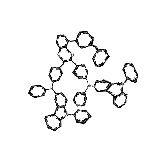 c1ccc(-c2cccc(-c3cccc4nc(-c5ccc(N(c6ccccc6)c6ccc7c(c6)c6ccccc6n7-c6ccccc6)cc5)c(-c5ccc(N(c6ccccc6)c6ccc7c(c6)c6ccccc6n7-c6ccccc6)cc5)nc34)c2)cc1